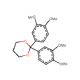 COc1ccc(C2(c3ccc(OC)c(OC)c3)OCCCO2)cc1OC